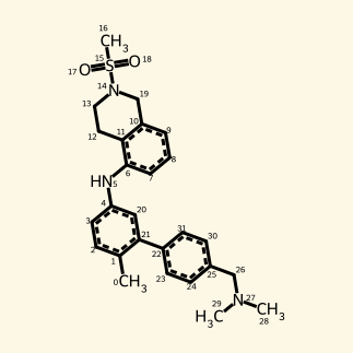 Cc1ccc(Nc2cccc3c2CCN(S(C)(=O)=O)C3)cc1-c1ccc(CN(C)C)cc1